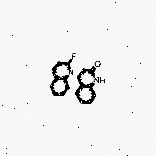 Fc1ccc2ccccc2n1.O=c1ccc2ccccc2[nH]1